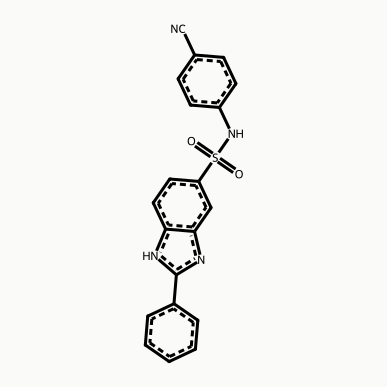 N#Cc1ccc(NS(=O)(=O)c2ccc3[nH]c(-c4ccccc4)nc3c2)cc1